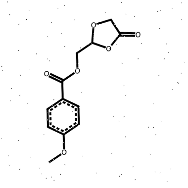 COc1ccc(C(=O)OCC2OCC(=O)O2)cc1